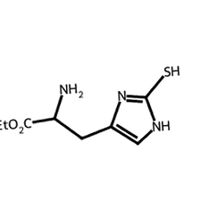 CCOC(=O)C(N)Cc1c[nH]c(S)n1